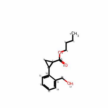 CCCCOC(=O)C1CC1c1ccccc1CO